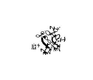 O=S(=O)([O-])CC1(S)N=NN=N1.O=S(=O)([O-])CC1(S)N=NN=N1.[Na+].[Na+]